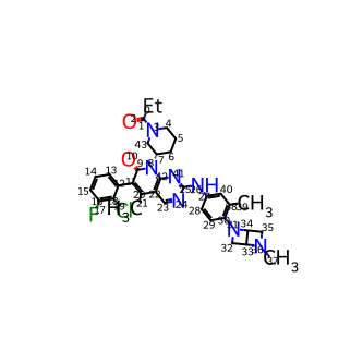 CCC(=O)N1CCC[C@H](n2c(=O)c(-c3cccc(F)c3Cl)c(C)c3cnc(Nc4ccc(N5CC6C5CN6C)c(C)c4)nc32)C1